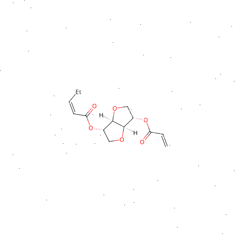 C=CC(=O)O[C@H]1CO[C@H]2[C@@H]1OC[C@@H]2OC(=O)/C=C\CC